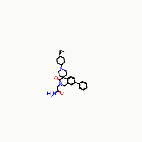 CC(C)[C@H]1CC[C@@H](N2CCC3(CC2)C(=O)N(CC(N)=O)Cc2cc(-c4ccccc4)ccc23)CC1